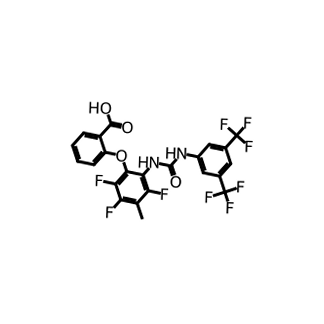 Cc1c(F)c(F)c(Oc2ccccc2C(=O)O)c(NC(=O)Nc2cc(C(F)(F)F)cc(C(F)(F)F)c2)c1F